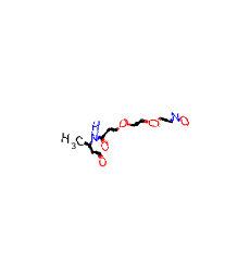 CC(CC=O)NC(=O)CCOCCOCCN=O